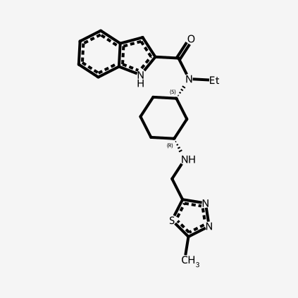 CCN(C(=O)c1cc2ccccc2[nH]1)[C@H]1CCC[C@@H](NCc2nnc(C)s2)C1